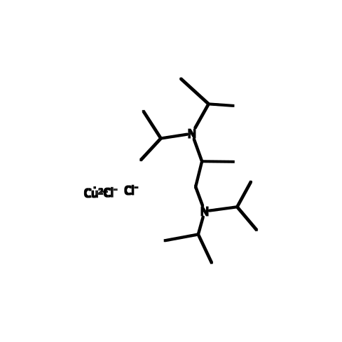 CC(C)N(CC(C)N(C(C)C)C(C)C)C(C)C.[Cl-].[Cl-].[Cu+2]